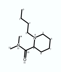 CCCCN1CCCCC1C(=O)N(C)C